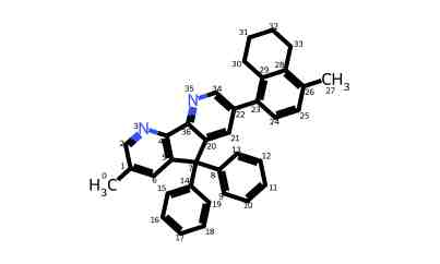 Cc1cnc2c(c1)C(c1ccccc1)(c1ccccc1)c1cc(-c3ccc(C)c4c3CCCC4)cnc1-2